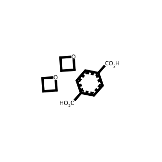 C1COC1.C1COC1.O=C(O)c1ccc(C(=O)O)cc1